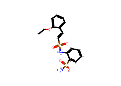 CCOc1ccccc1/C=C/S(=O)(=O)Nc1ccccc1S(N)(=O)=O